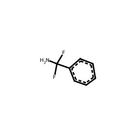 NC(F)(F)c1[c]cccc1